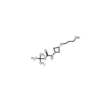 CC(C)(C)OC(=O)N[C@H]1C[C@H](OCCCO)C1